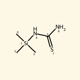 C[Si](C)(C)NC(N)=S